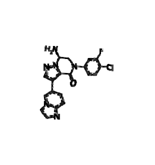 N[C@H]1CN(c2ccc(Cl)c(F)c2)C(=O)c2c(-c3ccc4nccn4c3)cnn21